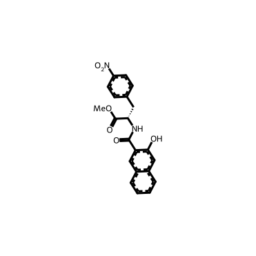 COC(=O)[C@H](Cc1ccc([N+](=O)[O-])cc1)NC(=O)c1cc2ccccc2cc1O